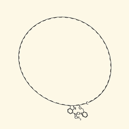 CN(C)c1cccc2c1N=C1C=C(OCc3ccccc3)C=CCC=CC=CC=CC=CC=CC=CC=CC=CC=CC=CC=CC=CC=CC=CC=CC=CC=CC=CC=CC=CC=CC=CC=CC=CC=CC=CC=CC=CC=CC=CC=CC=CC=CC=CC=CC=CC=CC=CC=CC=CC=CC=CC=CC=CC=CC=CC=C12